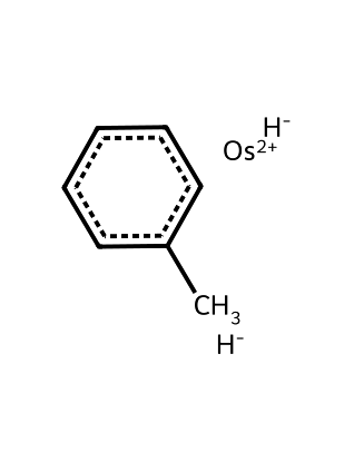 Cc1ccccc1.[H-].[H-].[Os+2]